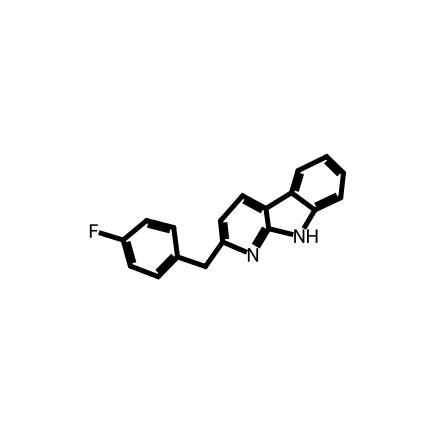 Fc1ccc(Cc2ccc3c(n2)[nH]c2ccccc23)cc1